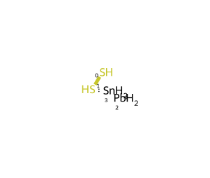 SS.[PbH2].[SnH2]